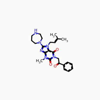 CC(C)=CCn1c(N2CCCNCC2)nc2c1c(=O)n(CC(=O)c1ccccc1)c(=O)n2C